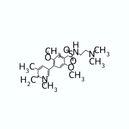 C=C1C(C)=CC(c2cc(OC)c(S(=O)(=O)NCCN(C)C)cc2OC)=CN1C